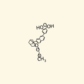 COCCOCOc1cc2ccc(-c3ccc(C(=O)O)c(O)c3)cc2cc1C12CC3CC(CC(C3)C1)C2